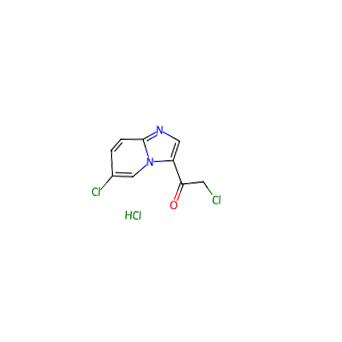 Cl.O=C(CCl)c1cnc2ccc(Cl)cn12